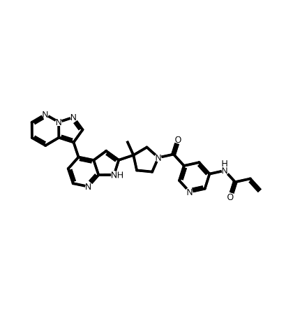 C=CC(=O)Nc1cncc(C(=O)N2CCC(C)(c3cc4c(-c5cnn6ncccc56)ccnc4[nH]3)C2)c1